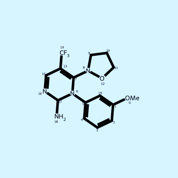 COc1cccc(N2C(N3CCCO3)=C(C(F)(F)F)C=NC2N)c1